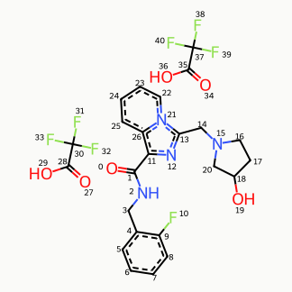 O=C(NCc1ccccc1F)c1nc(CN2CCC(O)C2)n2ccccc12.O=C(O)C(F)(F)F.O=C(O)C(F)(F)F